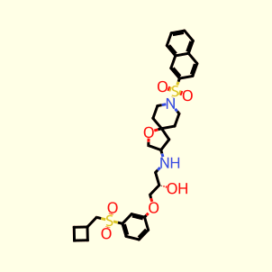 O=S(=O)(CC1CCC1)c1cccc(OC[C@@H](O)CNC2COC3(CCN(S(=O)(=O)c4ccc5ccccc5c4)CC3)C2)c1